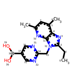 CCc1nc2c(C)cc(C)nc2n1Cc1ncc(B(O)O)cn1